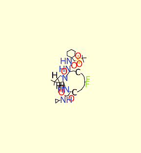 CC1(C)[C@@H]2[C@H]3C(=O)N[C@H](C(=O)C(=O)NC4CC4)CCCCC(F)(F)CCCC[C@H](NC(=O)NC4(CS(=O)(=O)C(C)(C)C)CCCCC4)C(=O)N3C[C@@H]21